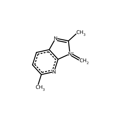 C=[N+]1C(C)=Nc2ccc(C)nc21